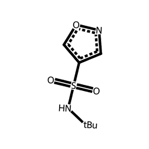 CC(C)(C)NS(=O)(=O)c1cnoc1